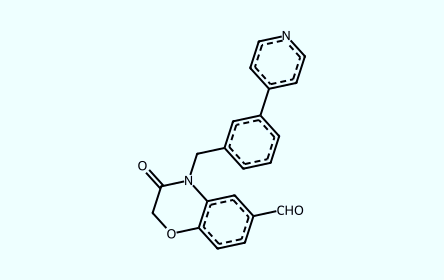 O=Cc1ccc2c(c1)N(Cc1cccc(-c3ccncc3)c1)C(=O)CO2